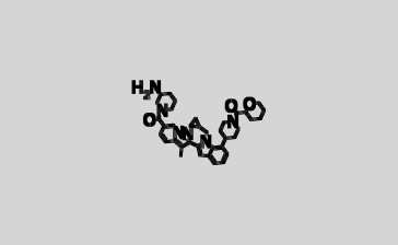 Cc1c(-c2cc3cccc(C4CCN(C(=O)C5CCCCO5)CC4)c3n2CC2CC2)nn2cc(C(=O)N3CCC[C@@H](N)C3)ccc12